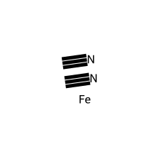 C#N.C#N.[Fe]